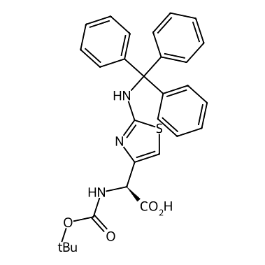 CC(C)(C)OC(=O)N[C@H](C(=O)O)c1csc(NC(c2ccccc2)(c2ccccc2)c2ccccc2)n1